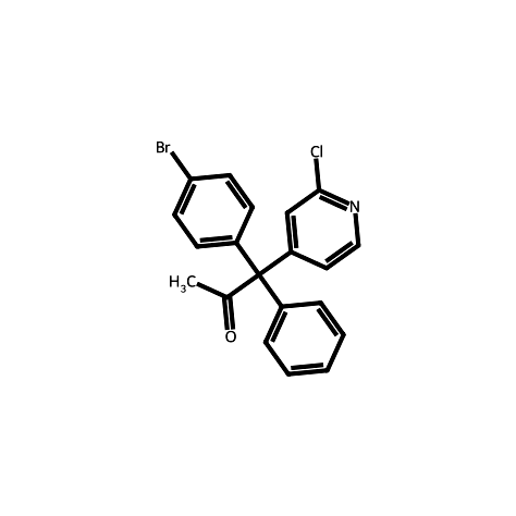 CC(=O)C(c1ccccc1)(c1ccc(Br)cc1)c1ccnc(Cl)c1